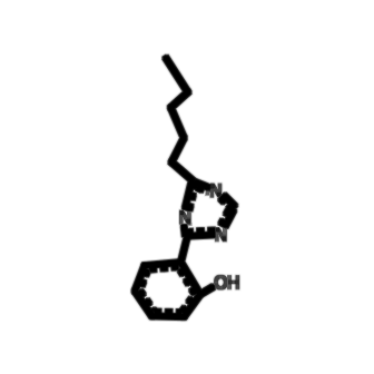 CCCCCc1ncnc(-c2ccccc2O)n1